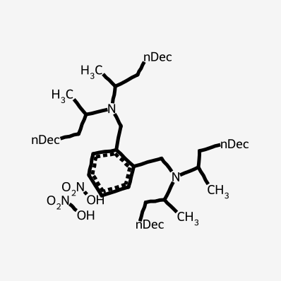 CCCCCCCCCCCC(C)N(Cc1ccccc1CN(C(C)CCCCCCCCCCC)C(C)CCCCCCCCCCC)C(C)CCCCCCCCCCC.O=[N+]([O-])O.O=[N+]([O-])O